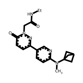 CCNC(=O)Cn1nc(-c2ccc(N(C)C34CC(C3)C4)nc2)ccc1=O